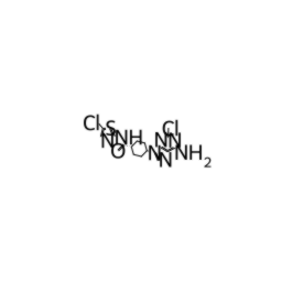 Nc1nc(Cl)nc2c1ncn2[C@H]1CC[C@@H](C(=O)Nc2ncc(Cl)s2)CC1